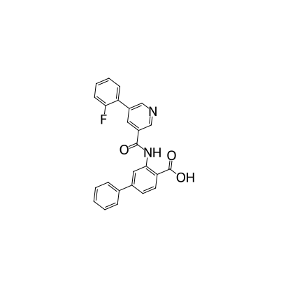 O=C(Nc1cc(-c2ccccc2)ccc1C(=O)O)c1cncc(-c2ccccc2F)c1